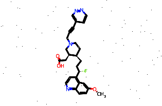 COc1ccc2nccc([C@@H](F)CC[C@@H]3CCN(CC#Cc4ccnnc4)C[C@@H]3CC(=O)O)c2c1